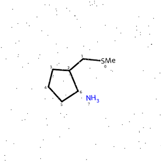 CSCC1CCCC1.N